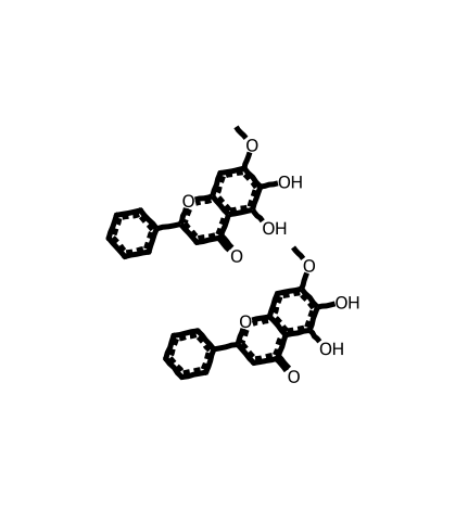 COc1cc2oc(-c3ccccc3)cc(=O)c2c(O)c1O.COc1cc2oc(-c3ccccc3)cc(=O)c2c(O)c1O